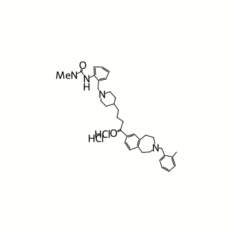 CNC(=O)Nc1ccccc1CN1CCC(CCCC(=O)c2ccc3c(c2)CCN(Cc2ccccc2C)CC3)CC1.Cl.Cl